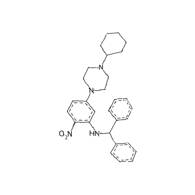 O=[N+]([O-])c1ccc(N2CCN(C3CCCCC3)CC2)cc1NC(c1ccccc1)c1ccccc1